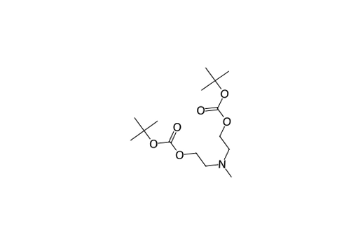 CN(CCOC(=O)OC(C)(C)C)CCOC(=O)OC(C)(C)C